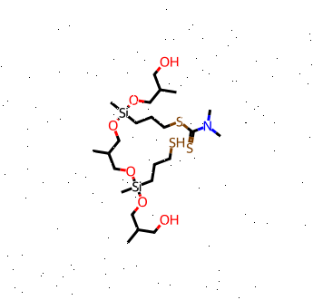 CC(CO)CO[Si](C)(CCCS)OCC(C)CO[Si](C)(CCCSC(=S)N(C)C)OCC(C)CO